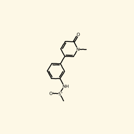 Cn1cc(-c2cccc(N[S+](C)[O-])c2)ccc1=O